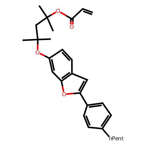 C=CC(=O)OC(C)(C)CC(C)(C)Oc1ccc2cc(-c3ccc(CCCCC)cc3)oc2c1